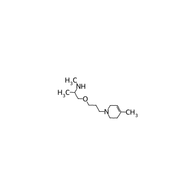 CNC(C)COCCCN1CC=C(C)CC1